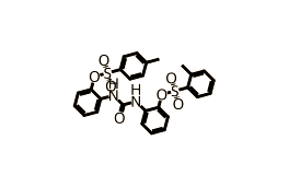 Cc1ccc(S(=O)(=O)Oc2ccccc2NC(=O)Nc2ccccc2OS(=O)(=O)c2ccccc2C)cc1